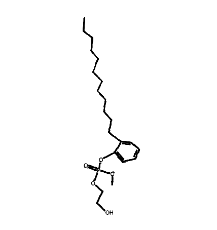 CCCCCCCCCCCCc1ccccc1OP(=O)(OC)OCCO